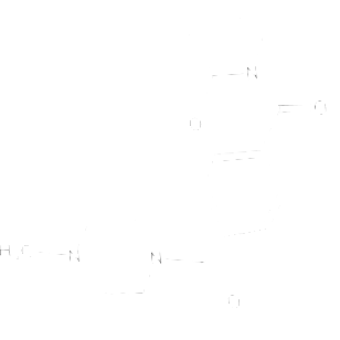 CN1CCN(C(=O)c2ccc3c(c2)OC2CCCN2C3=O)CC1